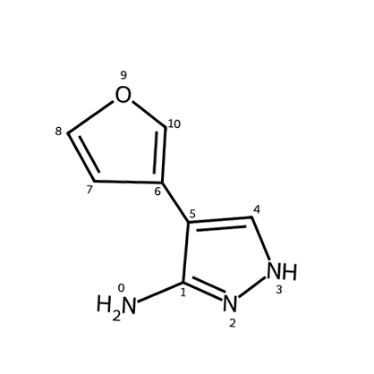 Nc1n[nH]cc1-c1ccoc1